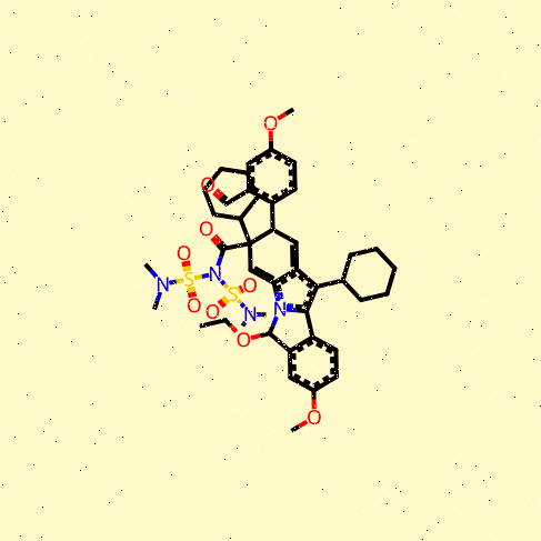 CCOC1c2cc(OC)ccc2-c2c(C3CCCCC3)c3c(n21)=CC(C(=O)N(S(=O)(=O)N(C)C)S(=O)(=O)N(C)C)(C1CCCCC1)C(c1ccc(OC)cc1C=O)C=3